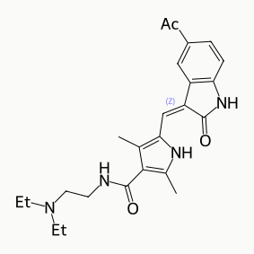 CCN(CC)CCNC(=O)c1c(C)[nH]c(/C=C2\C(=O)Nc3ccc(C(C)=O)cc32)c1C